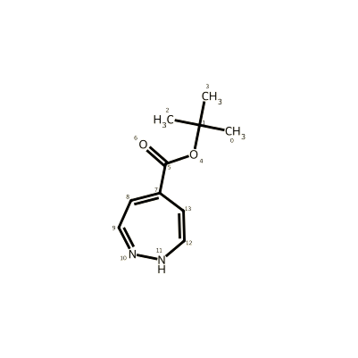 CC(C)(C)OC(=O)C1=CC=NNC=C1